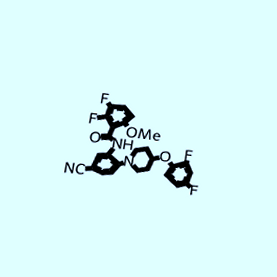 COc1ccc(F)c(F)c1C(=O)Nc1cc(C#N)ccc1N1CCC(Oc2ccc(F)cc2F)CC1